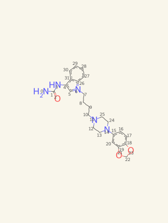 NC(=O)Nc1cn(CCCCN2CCN(c3ccc4c(c3)OCO4)CC2)c2ccccc12